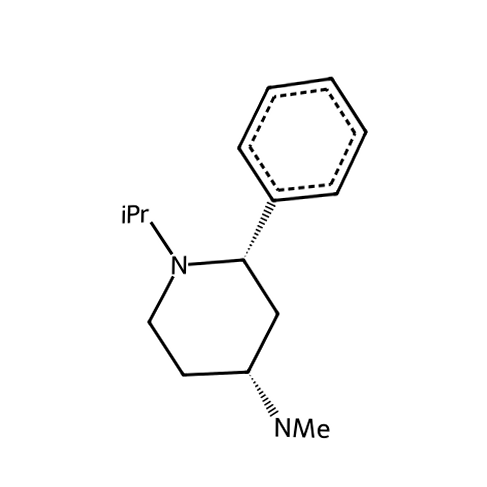 CN[C@@H]1CCN(C(C)C)[C@H](c2ccccc2)C1